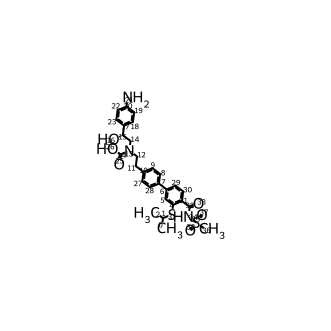 CC(C)Sc1cc(-c2ccc(CCN(C[C@H](O)c3ccc(N)cc3)C(=O)O)cc2)ccc1C(=O)NS(C)(=O)=O